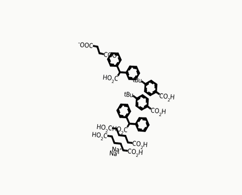 CC(C)(C)c1ccc(C(=O)O)cc1.CC(C)(C)c1ccc(C(=O)O)cc1.O=C(O)C(c1ccccc1)c1ccccc1.O=C(O)C(c1ccccc1)c1ccccc1.O=C(O)CCCCC(=O)O.O=C(O)CCCCC(=O)O.O=C([O-])CCC(=O)[O-].[Na+].[Na+]